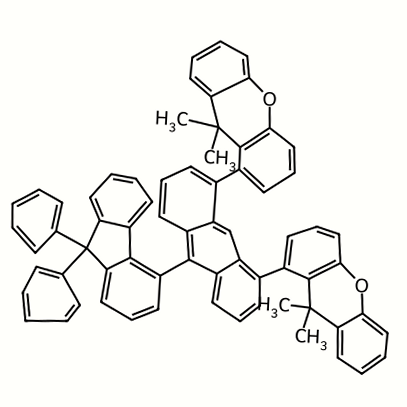 CC1(C)c2ccccc2Oc2cccc(-c3cccc4c(-c5cccc6c5-c5ccccc5C6(c5ccccc5)c5ccccc5)c5cccc(-c6cccc7c6C(C)(C)c6ccccc6O7)c5cc34)c21